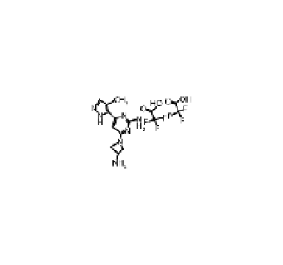 Cc1cn[nH]c1-c1cc(N2CC(N)C2)nc(N)n1.O=C(O)C(F)(F)F.O=C(O)C(F)(F)F